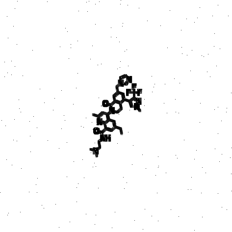 CCc1cc(C(=O)NCCN(C)C)c2nc(C)cc(N3CCc4c(cc(Cn5ccnc5)cc4-c4cn(C)nc4C(F)(F)F)C3=O)c2c1